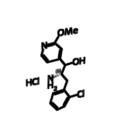 COc1cc(C(O)[C@@H](N)Cc2ccccc2Cl)ccn1.Cl